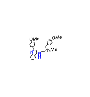 CNC(CCNc1cc(-c2ccc(OC)cc2)nc2ccccc12)Cc1ccc(OC)cc1